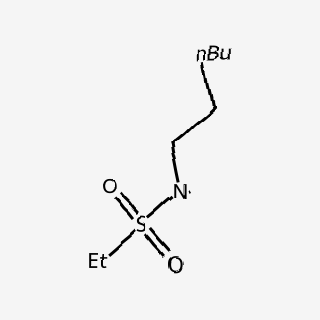 CCCCCC[N]S(=O)(=O)CC